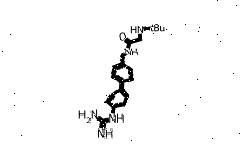 CC(C)(C)NCC(=O)NCc1ccc(-c2ccc(NC(=N)N)cc2)cc1